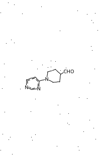 O=CC1CCN(c2ccncn2)CC1